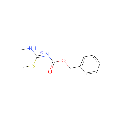 CN/C(=N/C(=O)OCc1ccccc1)SC